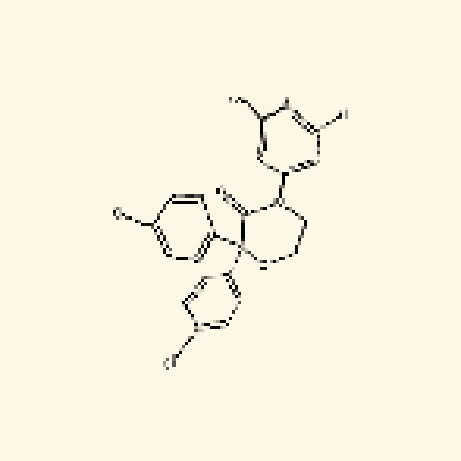 O=C1N(c2cc(Cl)nc(Cl)c2)CCOC1(c1ccc(Cl)cc1)c1ccc(Cl)cc1